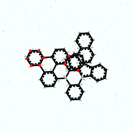 c1ccc(-c2ccccc2-c2c(-c3ccccc3)cccc2N(c2ccc3c(ccc4ccccc43)c2)c2ccccc2-n2c3ccccc3c3ccccc32)cc1